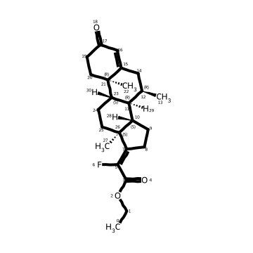 CCOC(=O)C(F)=C1CC[C@H]2[C@@H]3[C@H](C)CC4=CC(=O)CC[C@]4(C)[C@H]3CC[C@]12C